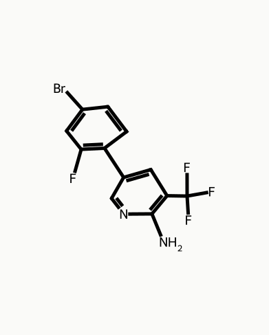 Nc1ncc(-c2ccc(Br)cc2F)cc1C(F)(F)F